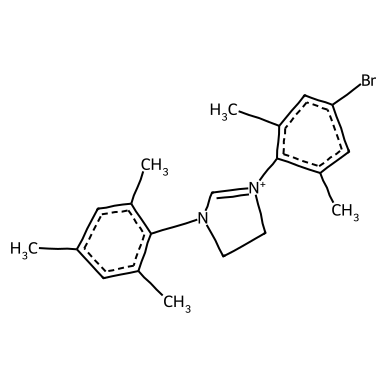 Cc1cc(C)c(N2C=[N+](c3c(C)cc(Br)cc3C)CC2)c(C)c1